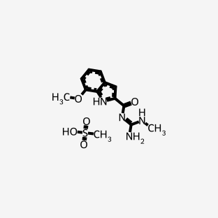 CNC(N)=NC(=O)c1cc2cccc(OC)c2[nH]1.CS(=O)(=O)O